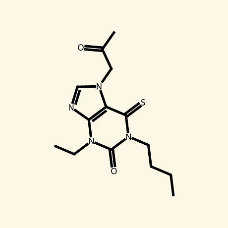 CCCCn1c(=S)c2c(ncn2CC(C)=O)n(CC)c1=O